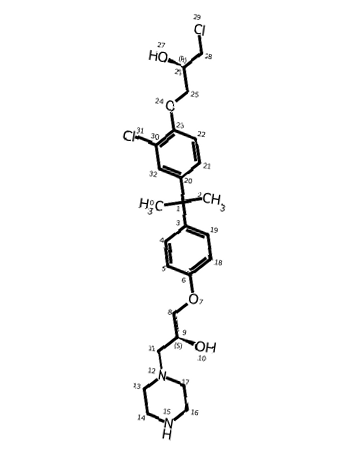 CC(C)(c1ccc(OC[C@@H](O)CN2CCNCC2)cc1)c1ccc(OC[C@@H](O)CCl)c(Cl)c1